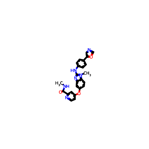 CNC(=O)c1cc(Oc2ccc3c(c2)nc(Nc2ccc(-c4cnco4)cc2)n3C)ccn1